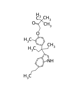 CCCc1ccc2c(C(CC)(CC)c3ccc(OCC(=O)C(C)(C)C)c(C)c3)c[nH]c2c1